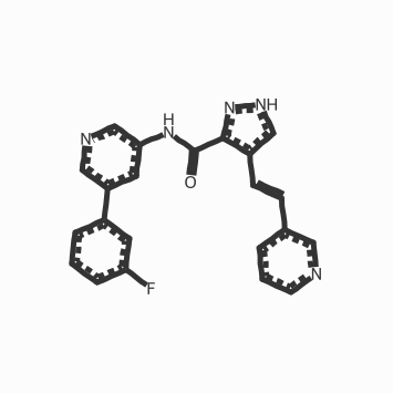 O=C(Nc1cncc(-c2cccc(F)c2)c1)c1n[nH]cc1C=Cc1cccnc1